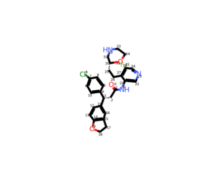 O=C(C[C@@H](c1ccc(Cl)cc1)c1ccc2c(c1)CCO2)Nc1cncc(F)c1CC[C@@H]1CN[CH]CO1